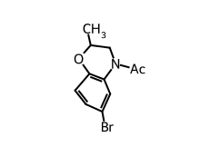 CC(=O)N1CC(C)Oc2ccc(Br)cc21